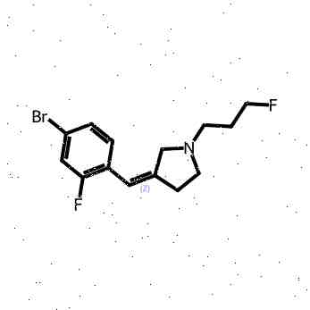 FCCCN1CC/C(=C/c2ccc(Br)cc2F)C1